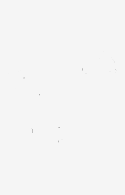 CC1(C)OC2OC(COCc3ccccc3)C(OCc3ccccc3)C2O1